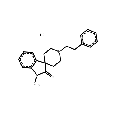 CN1C(=O)C2(CCN(CCc3ccccc3)CC2)c2ccccc21.Cl